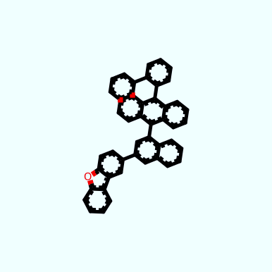 c1ccc(-c2ccccc2-c2c3ccccc3c(-c3cc(-c4ccc5oc6ccccc6c5c4)cc4ccccc34)c3ccccc23)cc1